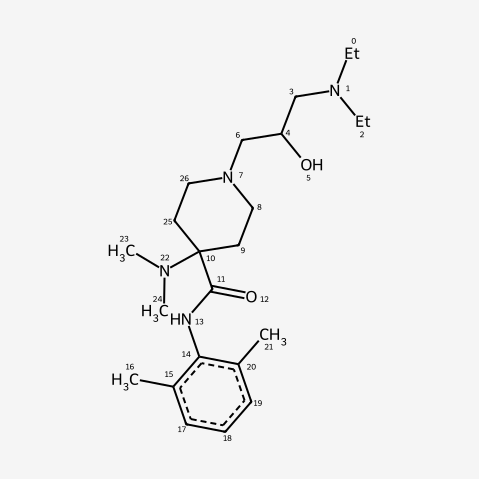 CCN(CC)CC(O)CN1CCC(C(=O)Nc2c(C)cccc2C)(N(C)C)CC1